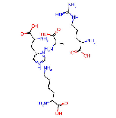 CC(N)C(=O)O.N=C(N)NCCCC(N)C(=O)O.NC(Cc1c[nH]cn1)C(=O)O.NCCCCC(N)C(=O)O